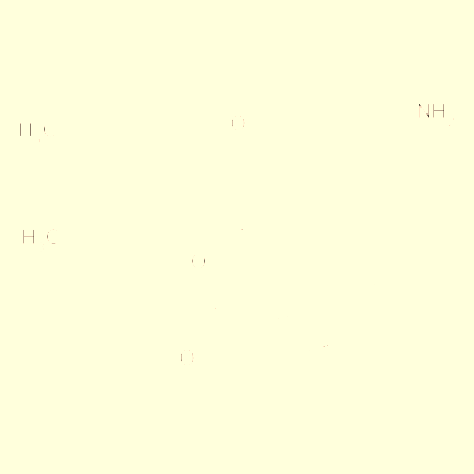 Cc1cc2c(cc1C)C1(OC(=O)c3ccccc31)c1ccc(N)cc1O2